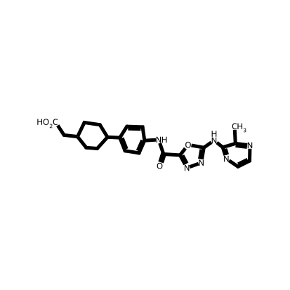 Cc1nccnc1Nc1nnc(C(=O)Nc2ccc(C3CCC(CC(=O)O)CC3)cc2)o1